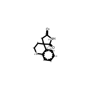 O=C1CC2(CCSc3ccccc32)C(=O)N1